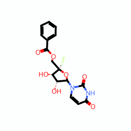 O=C(OC[C@@]1(F)OC(n2ccc(=O)[nH]c2=O)[C@H](O)[C@@H]1O)c1ccccc1